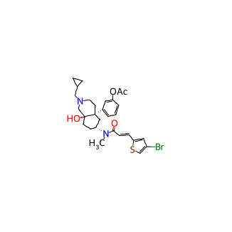 CC(=O)Oc1cccc([C@@]23CCN(CC4CC4)C[C@@]2(O)CC[C@@H](N(C)C(=O)/C=C/c2cc(Br)cs2)C3)c1